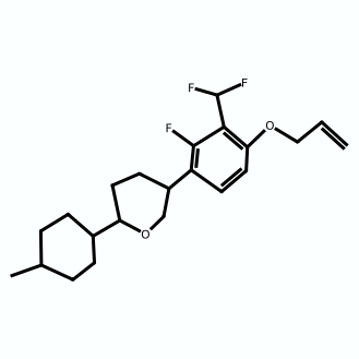 C=CCOc1ccc(C2CCC(C3CCC(C)CC3)OC2)c(F)c1C(F)F